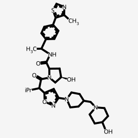 Cc1ncsc1-c1ccc(C(C)NC(=O)C2C[C@@H](O)CN2C(=O)C(c2cc(N3CCC(CN4CCC(O)CC4)CC3)no2)C(C)C)cc1